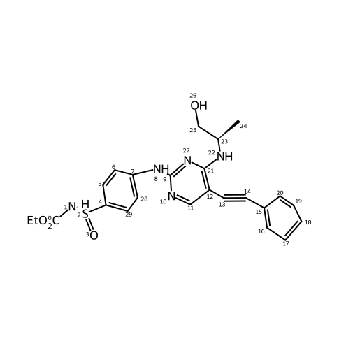 CCOC(=O)/N=[SH](=O)/c1ccc(Nc2ncc(C#Cc3ccccc3)c(N[C@H](C)CO)n2)cc1